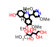 CCOc1cc2c(cc1OC)C(c1cc(OC)nnc1OC)=N[C@@H]1CC[C@@H](O)C[C@H]21.O=C(O)[C@H](O)[C@@H](O)[C@H](O)[C@H](O)CO